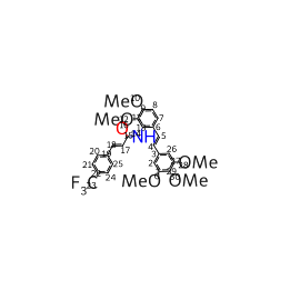 COc1cc(/C=C/c2ccc(OC)c(OC)c2NC(=O)/C=C/c2ccc(C(F)(F)F)cc2)cc(OC)c1OC